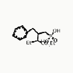 CCOC(=O)C(CC)C(Cc1ccccc1)CP(=O)(O)O